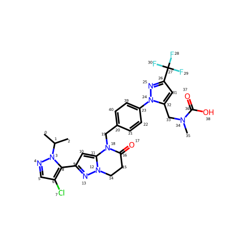 CC(C)n1ncc(Cl)c1-c1cc2n(n1)CCC(=O)N2Cc1ccc(-n2nc(C(F)(F)F)cc2CN(C)C(=O)O)cc1